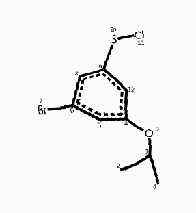 CC(C)Oc1cc(Br)cc(SCl)c1